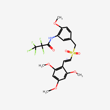 COc1cc(OC)c(/C=C/S(=O)(=O)Cc2ccc(OC)c(NC(=O)C(F)(F)C(F)(F)F)c2)c(OC)c1